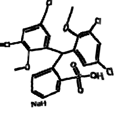 COc1c(Cl)cc(Cl)cc1C(c1ccccc1S(=O)(=O)O)c1cc(Cl)cc(Cl)c1OC.[NaH]